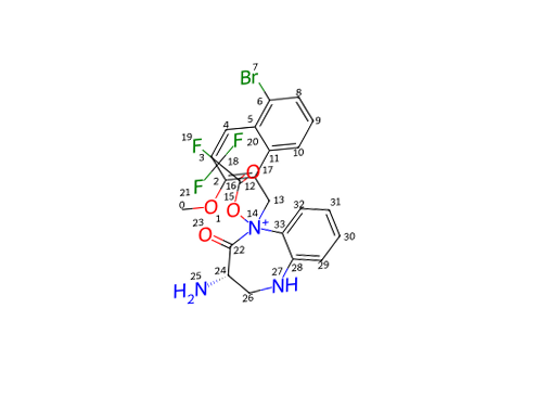 COc1ccc2c(Br)cccc2c1C[N+]1(OC(=O)C(F)(F)F)C(=O)[C@@H](N)CNc2ccccc21